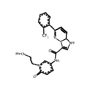 COCCn1cc(NC(=O)C2=CNC3C=CC(c4ccccc4C(F)(F)F)=NN23)ccc1=O